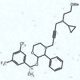 COCCN(CC#CCN1CCOC(O[C@H](C)c2cc(C(F)(F)F)cc(C(F)(F)F)c2)C1c1ccccc1)C1CC1